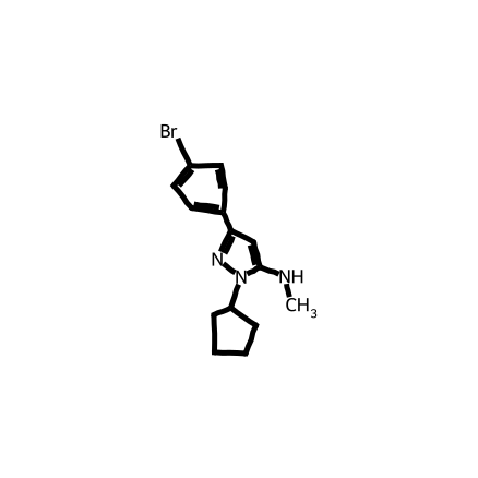 CNc1cc(-c2ccc(Br)cc2)nn1C1CCCC1